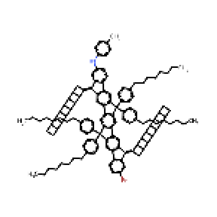 CCCCCCCCc1ccc(C2(c3ccc(CCCCCCCC)cc3)c3cc4c(cc3-c3cc5c(cc32)-c2cc3c(cc2C5(c2ccc(CCCCCCCC)cc2)c2ccc(CCCCCCCC)cc2)-c2ccc(Nc5ccc(C)cc5)cc2/C3=C2\CC3C2C2C3C3C5C6C7CCC7C6C5C23)/C(=C2/CC3C2C2C3C3C5C6C7CCC7C6C5C23)c2cc(Br)ccc2-4)cc1